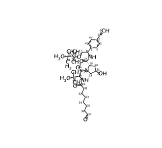 C#Cc1ccc(C(CO[Si](C)(C)C(C)(C)C)NC(=O)[C@@H]2C[C@@H](O)CN2C(=O)C(NC(=O)CCCCCCC=O)C(C)(C)C)cc1